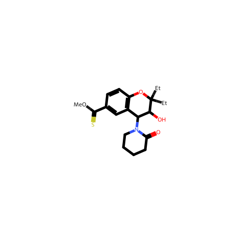 CCC1(CC)Oc2ccc(C(=S)OC)cc2C(N2CCCCC2=O)C1O